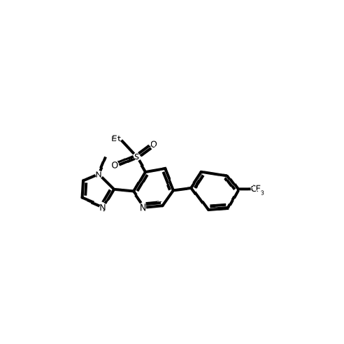 CCS(=O)(=O)c1cc(-c2ccc(C(F)(F)F)cc2)cnc1-c1nccn1C